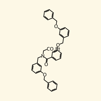 CCOC(=O)CN(Cc1cccc(OCc2ccccc2)c1)C(=O)c1cccc(OCc2cccc(OCc3ccccc3)c2)c1